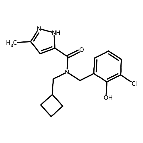 Cc1cc(C(=O)N(Cc2cccc(Cl)c2O)CC2CCC2)[nH]n1